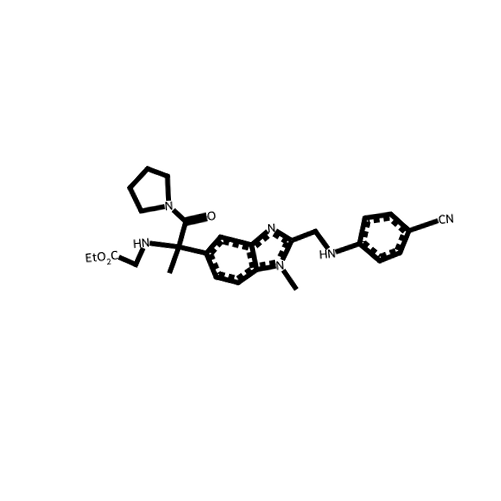 CCOC(=O)CNC(C)(C(=O)N1CCCC1)c1ccc2c(c1)nc(CNc1ccc(C#N)cc1)n2C